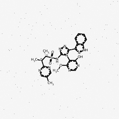 COc1ncnc(O)c1-n1c(NS(=O)(=O)[C@@H](C)[C@H](C)c2ncc(C)cn2)nnc1-c1n[nH]c2ccccc12